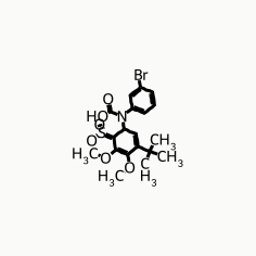 COC1=C(OC)C(=S(=O)=O)C(N(C(=O)O)c2cccc(Br)c2)C=C1C(C)(C)C